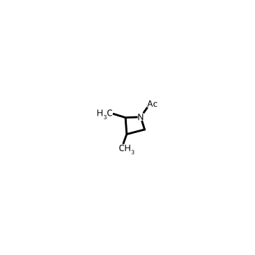 CC(=O)N1CC(C)C1C